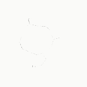 CCCN1CCCN(CC(=O)O)CCN(CC(=O)O)CCCNCC1